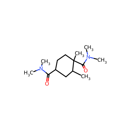 CC1CC(C(=O)N(C)C)CCC1(C)C(=O)N(C)C